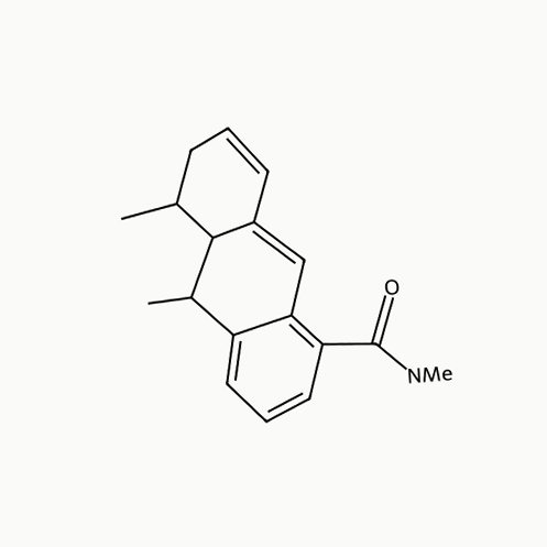 CNC(=O)c1cccc2c1C=C1C=CCC(C)C1C2C